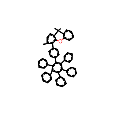 Cc1ccc2c(c1-c1ccc(-c3c(-c4ccccc4)c(-c4ccccc4)c(-c4ccccc4)c(-c4ccccc4)c3-c3ccccc3)cc1)Oc1ccccc1C2(C)C